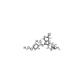 COc1ccc(/C(C)=C/n2c3c(c4cc(Cl)ccc42)C2CCC(C3)N2C)cc1